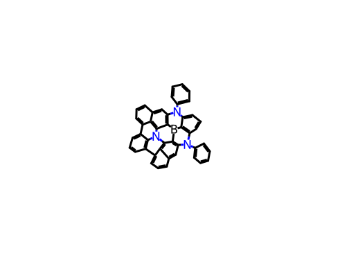 c1ccc(N2c3cccc4c3B3c5c2cc2cccc6c2c5N2c5c-6cccc5-c5cccc6cc(c3c2c56)N4c2ccccc2)cc1